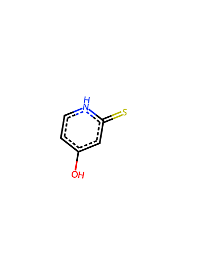 Oc1cc[nH]c(=S)c1